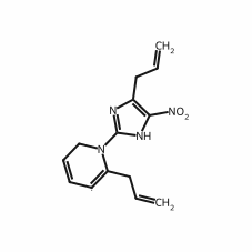 C=CCC1=[C]C=CCN1c1nc(CC=C)c([N+](=O)[O-])[nH]1